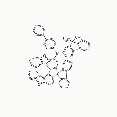 CC1(C)c2ccccc2-c2ccc(N(c3ccc(-c4ccccc4)cc3)c3cc4c(c5c3oc3ccccc35)-c3c(ccc5oc6ccccc6c35)C43c4ccccc4-c4ccccc43)cc21